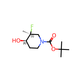 CC(C)(C)OC(=O)N1CC[C@@H](O)[C@@](C)(F)C1